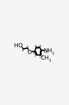 Cc1cc(OCCO)ccc1N